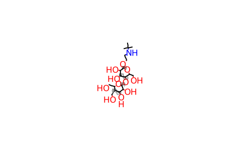 CC(C)(C)NCCO[C@@H]1OC(CO)[C@@H](O[C@@H]2OC(CO)[C@H](CO)[C@H](O)C2O)[C@H](O)C1O